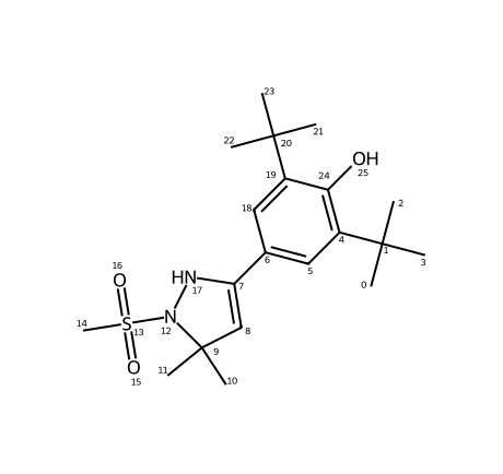 CC(C)(C)c1cc(C2=CC(C)(C)N(S(C)(=O)=O)N2)cc(C(C)(C)C)c1O